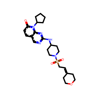 O=c1ccc2cnc(NC3CCN(S(=O)(=O)CC=C4CCOCC4)CC3)nc2n1C1CCCC1